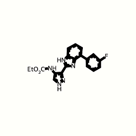 CCOC(=O)Nc1c[nH]nc1-c1nc2c(-c3cccc(F)c3)cccc2[nH]1